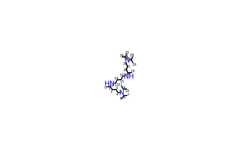 CC(CCCN(C(C)C)C(C)C)NCCCCNC(C)CCCN(C(C)C)C(C)C